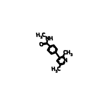 CNC(=O)c1ccc(-c2cc(C)cnc2C)cc1